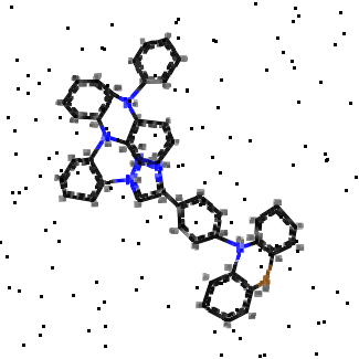 c1ccc(N2c3ccccc3N(c3ccccc3-n3cc(-c4ccc(N5c6ccccc6Sc6ccccc65)cc4)nn3)c3ccccc32)cc1